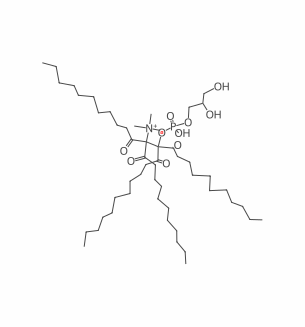 CCCCCCCCCCC(=O)C(OP(=O)(O)OCC(O)CO)(C(=O)CCCCCCCCCC)C(C(=O)CCCCCCCCCC)(C(=O)CCCCCCCCCC)[N+](C)(C)C